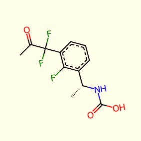 CC(=O)C(F)(F)c1cccc([C@@H](C)NC(=O)O)c1F